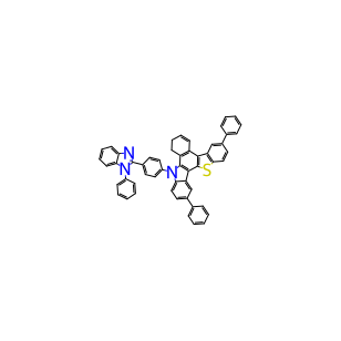 C1=Cc2c(c3c(c4cc(-c5ccccc5)ccc4n3-c3ccc(-c4nc5ccccc5n4-c4ccccc4)cc3)c3sc4ccc(-c5ccccc5)cc4c23)CC1